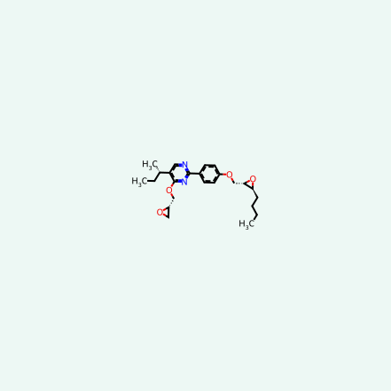 CCCC[C@@H]1O[C@H]1COc1ccc(-c2ncc([C@@H](C)CC)c(OC[C@@H]3CO3)n2)cc1